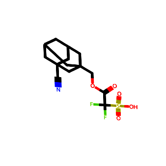 N#CC12CC3CC(C1)CC(COC(=O)C(F)(F)S(=O)(=O)O)(C3)C2